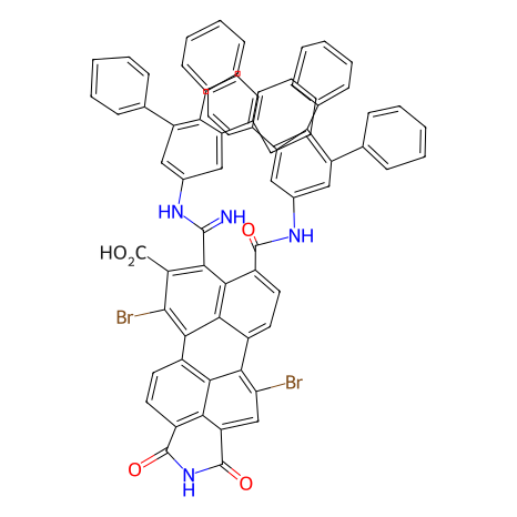 N=C(Nc1cc(-c2ccccc2)c(-c2ccccc2)c(-c2ccccc2)c1)c1c(C(=O)O)c(Br)c2c3ccc4c5c(cc(Br)c(c6ccc(C(=O)Nc7cc(-c8ccccc8)c(-c8ccccc8)c(-c8ccccc8)c7)c1c62)c53)C(=O)NC4=O